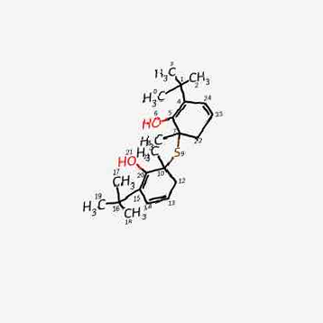 CC(C)(C)C1=C(O)C(C)(SC2(C)CC=CC(C(C)(C)C)=C2O)CC=C1